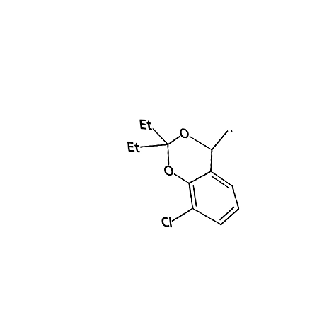 [CH2]C1OC(CC)(CC)Oc2c(Cl)cccc21